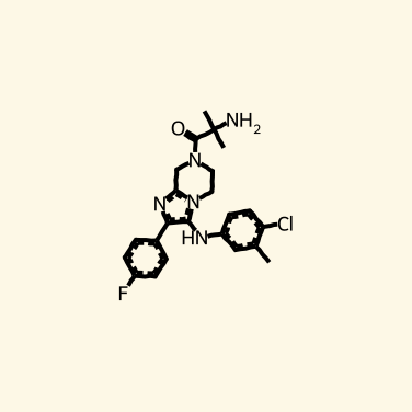 Cc1cc(Nc2c(-c3ccc(F)cc3)nc3n2CCN(C(=O)C(C)(C)N)C3)ccc1Cl